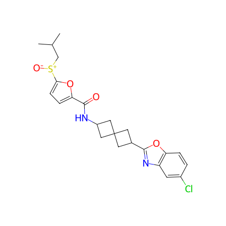 CC(C)C[S+]([O-])c1ccc(C(=O)NC2CC3(C2)CC(c2nc4cc(Cl)ccc4o2)C3)o1